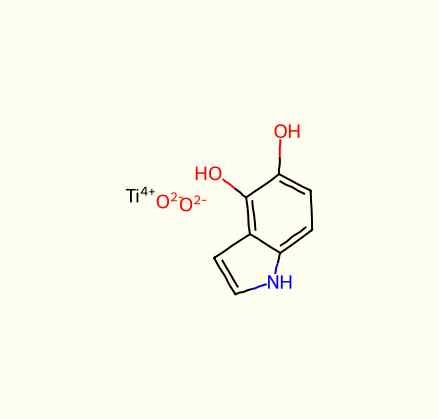 Oc1ccc2[nH]ccc2c1O.[O-2].[O-2].[Ti+4]